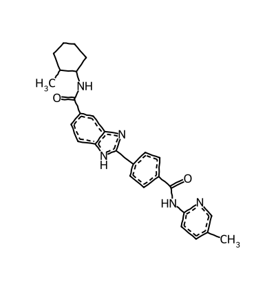 Cc1ccc(NC(=O)c2ccc(-c3nc4cc(C(=O)NC5CCCCC5C)ccc4[nH]3)cc2)nc1